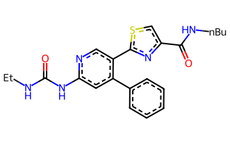 CCCCNC(=O)c1csc(-c2cnc(NC(=O)NCC)cc2-c2ccccc2)n1